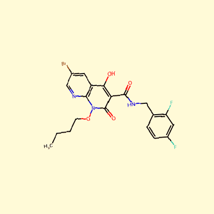 CCCCOn1c(=O)c(C(=O)NCc2ccc(F)cc2F)c(O)c2cc(Br)cnc21